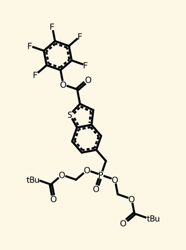 CC(C)(C)C(=O)OCOP(=O)(Cc1ccc2sc(C(=O)Oc3c(F)c(F)c(F)c(F)c3F)cc2c1)OCOC(=O)C(C)(C)C